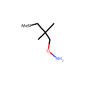 CNCC(C)(C)CON